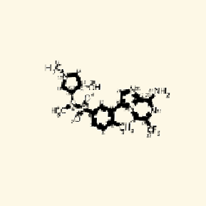 Cc1ccc(S(=O)(=O)N(C)[C@H]2CN(C)C[C@@H]2O)cc1-c1cnc2c(N)nc(C(F)(F)F)cn12